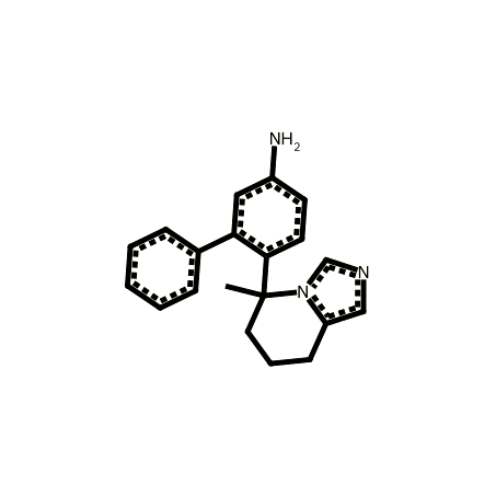 CC1(c2ccc(N)cc2-c2ccccc2)CCCc2cncn21